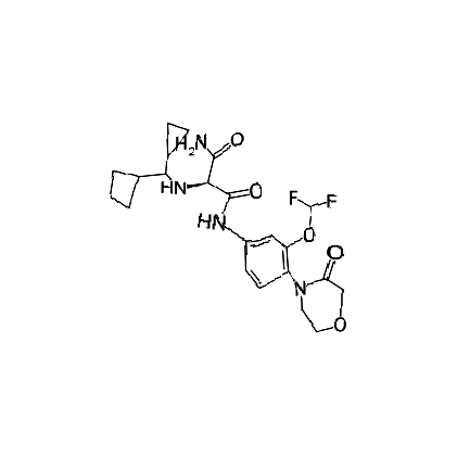 NC(=O)[C@H](NC(C1CCC1)C1CC1)C(=O)Nc1ccc(N2CCOCC2=O)c(OC(F)F)c1